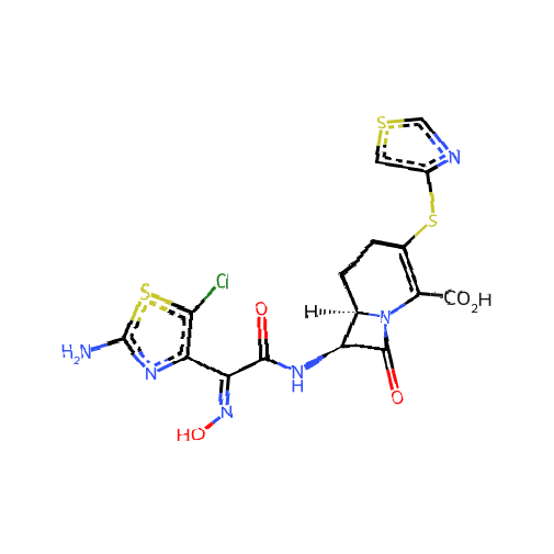 Nc1nc(C(=NO)C(=O)N[C@@H]2C(=O)N3C(C(=O)O)=C(Sc4cscn4)CC[C@H]23)c(Cl)s1